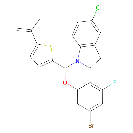 C=C(C)c1ccc(C2Oc3cc(Br)cc(F)c3C3Cc4cc(Cl)ccc4N32)s1